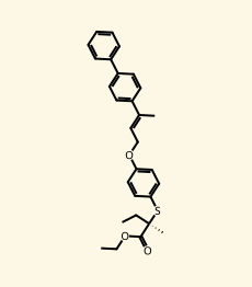 CCOC(=O)[C@@](C)(CC)Sc1ccc(OC/C=C(\C)c2ccc(-c3ccccc3)cc2)cc1